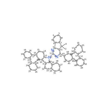 CC1(C)c2ccccc2-c2nc(-n3c4ccc5c6ccccc6c6ccccc6c5c4c4ccc5ccccc5c43)nc(-c3ccc4c5ccccc5c5ccccc5c4c3)c21